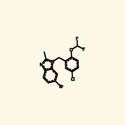 Cc1nc2ccc(Br)cc2n1Cc1cc(Cl)ccc1OC(F)F